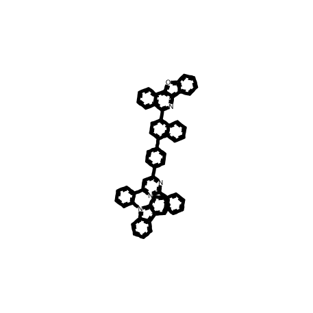 c1ccc(-c2nc(-c3ccc(-c4ccc(-c5nc6c7ccccc7oc6c6ccccc56)c5ccccc45)cc3)cc(-c3ccccc3-n3c4ccccc4c4ccccc43)n2)cc1